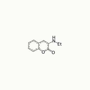 CCNc1cc2ccccc2oc1=O